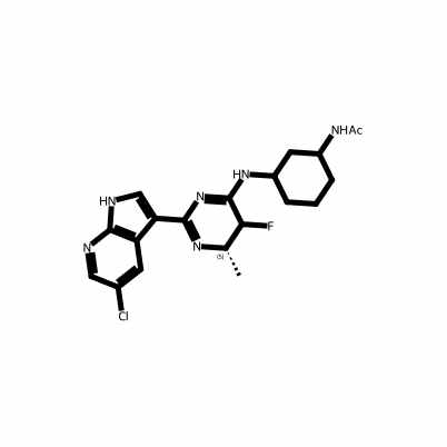 CC(=O)NC1CCCC(NC2=NC(c3c[nH]c4ncc(Cl)cc34)=N[C@@H](C)C2F)C1